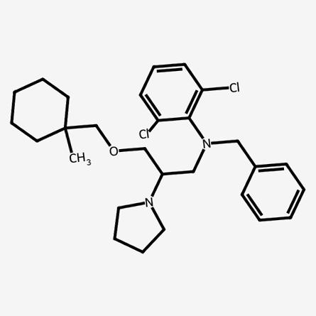 CC1(COCC(CN(Cc2ccccc2)c2c(Cl)cccc2Cl)N2CCCC2)CCCCC1